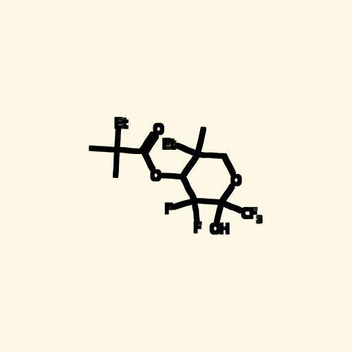 CCC(C)(C)C(=O)OC1C(C)(CC)COC(O)(C(F)(F)F)C1(F)F